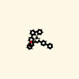 c1ccc(-c2ccc(-c3cc(-c4ccccc4)nc(-n4c5ccccc5c5cccc(-c6ccc(-c7ccccc7)cc6)c54)n3)cc2)cc1